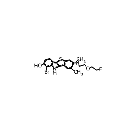 Cc1cc2c(cc1N(C)CCOCCF)sc1c3ccc(O)c(Br)c3[nH]c21